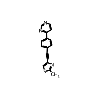 Cc1nc(C#Cc2ccc(-c3ccncn3)cc2)cs1